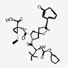 C=C[C@@H]1C[C@]1(NC(=O)[C@@H]1C[C@]2(CC(c3cccc(Cl)c3)=NO2)CN1C(=O)[C@@H](NC(=O)OC1CCCC1)C(C)(C)C)C(=O)O